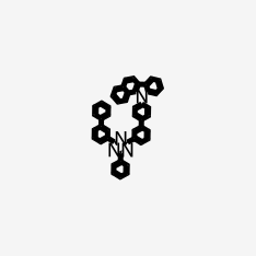 c1ccc(-c2cccc(-c3nc(-c4ccccc4)nc(-c4cccc(-c5ccc(-n6c7ccccc7c7ccc8ccccc8c76)cc5)c4)n3)c2)cc1